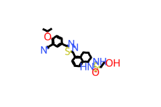 CC(C)Oc1ccc(-c2nnc(-c3cccc4c3CCC[C@H]4NS(=N)(=O)CCO)s2)cc1C#N